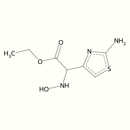 CCOC(=O)C(NO)c1csc(N)n1